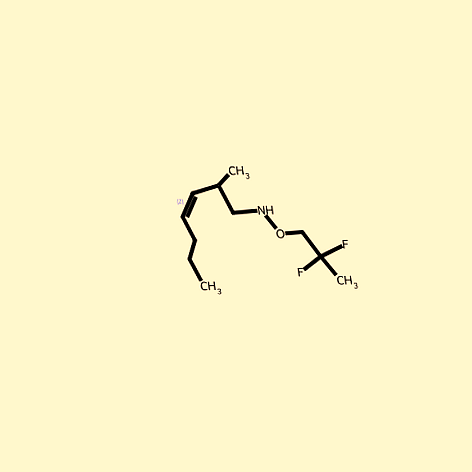 CCC/C=C\C(C)CNOCC(C)(F)F